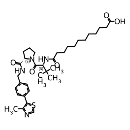 Cc1ncsc1-c1ccc(CNC(=O)[C@@H]2CCCN2C(=O)[C@@H](NC(=O)CCCCCCCCCCC(=O)O)C(C)(C)C)cc1